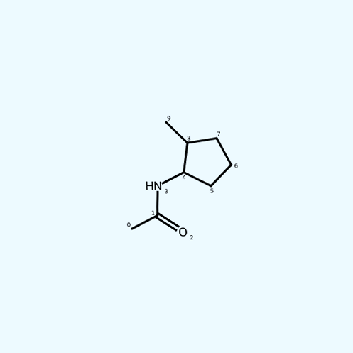 CC(=O)NC1CCCC1C